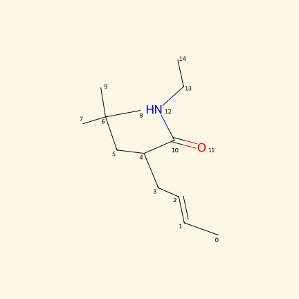 C/C=C/CC(CC(C)(C)C)C(=O)NCC